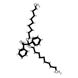 CCCCCCCCCCOC(OCCCCCCCCCC)(C(=O)c1ccccc1)c1ccccc1